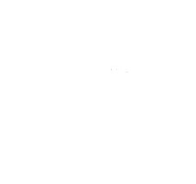 CCOC(=O)[C@@H]1[C@H](C)CCCC12CCCC2